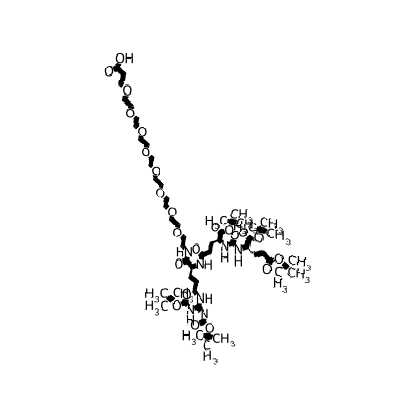 CC(C)(C)OC(=O)CC[C@H](NC(=O)N[C@@H](CCC(=O)N[C@@H](CCCN/C(=N/C(=O)OC(C)(C)C)NC(=O)OC(C)(C)C)C(=O)NCCOCCOCCOCCOCCOCCOCCOCCOCCC(=O)O)C(=O)OC(C)(C)C)C(=O)OC(C)(C)C